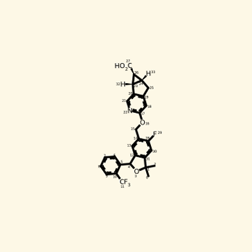 CC1(C)OC(c2ccccc2C(F)(F)F)c2cc(COc3cc4c(cn3)[C@H]3[C@@H](C4)[C@@H]3C(=O)O)c(F)cc21